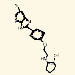 O[C@H]1CCCC[C@@H]1NCCOc1ccc(-c2nc3cc(Br)cnc3[nH]2)cc1